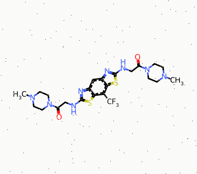 CN1CCN(C(=O)CNc2nc3cc4nc(NCC(=O)N5CCN(C)CC5)sc4c(C(F)(F)F)c3s2)CC1